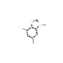 Cc1cc(Br)c2ncn(C)c2c1